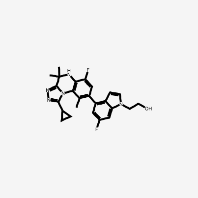 Cc1c(-c2cc(F)cc3c2ccn3CCO)cc(F)c2c1-n1c(C3CC3)nnc1C(C)(C)N2